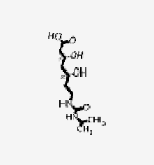 CC(C)NC(=O)NCC[C@@H](O)C[C@@H](O)CC(=O)O